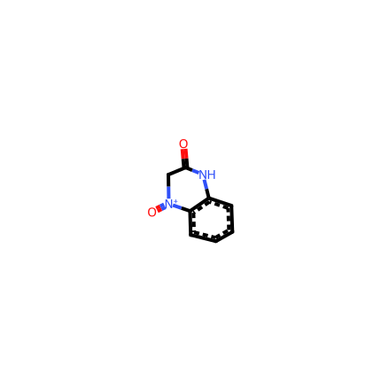 O=C1C[N+](=O)c2ccccc2N1